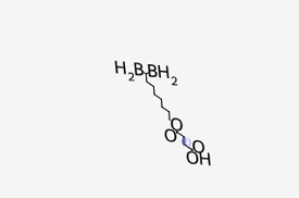 BC(B)CCCCCCCOC(=O)/C=C/C(=O)O